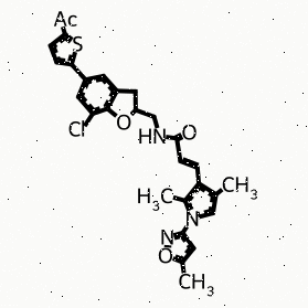 CC(=O)c1ccc(-c2cc(Cl)c3c(c2)CC(CNC(=O)/C=C/c2c(C)cn(-c4cc(C)on4)c2C)O3)s1